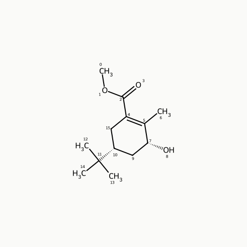 COC(=O)C1=C(C)[C@H](O)C[C@H](C(C)(C)C)C1